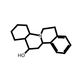 OC1CC2c3ccccc3CCN2C2CCCCC12